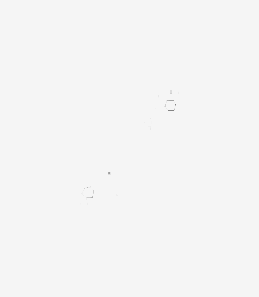 Cc1cc(CCCC(=O)OCCCCCCCCOC(=O)CCCc2cc(C)c(O)c(C)c2C)c(C)c(C)c1O